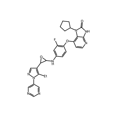 CCc1c(C2OC2Nc2ccc(Oc3ccnc4[nH]c(=O)n(C5CCCC5)c34)c(F)c2)cnn1-c1cncnc1